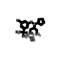 CC[C](CC)=[Ti]([O]c1cc(Cl)cc(C(C)(C)C)c1)[C]1=CC=CC1.Cl.Cl